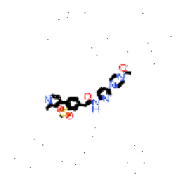 CC(=O)N1CCN(c2ccc(NC(=O)Cc3ccc(-c4ccnc(C)c4)c(S(C)(=O)=O)c3)nc2)CC1